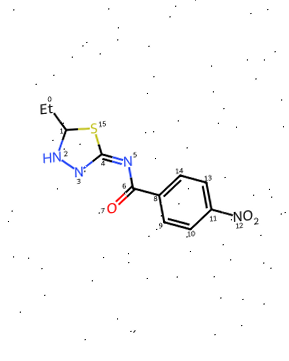 CCC1N[N]C(=NC(=O)c2ccc([N+](=O)[O-])cc2)S1